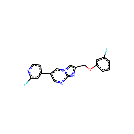 Fc1cccc(OCc2cn3cc(-c4ccnc(F)c4)cnc3n2)c1